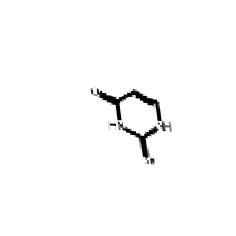 O=c1cc[nH]c(=[Se])[nH]1